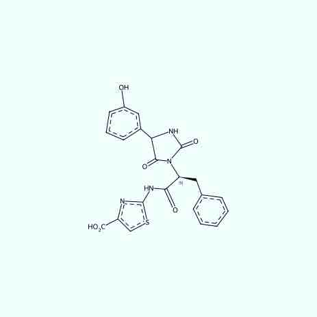 O=C(O)c1csc(NC(=O)[C@H](Cc2ccccc2)N2C(=O)NC(c3cccc(O)c3)C2=O)n1